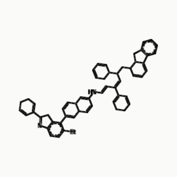 CCc1ccc2c(c1C1=CC3C=CC(N/C=C/C(=C\C(CC4C=CC=C5c6ccccc6CC54)C4C=CC=CC4)C4=CCCC=C4)=CC3C=C1)CC(C1=CCCC=C1)=N2